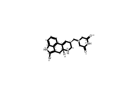 O=C1CN(C[C@@H]2C=C3c4cccc5[nH]c(Br)c(c45)C[C@H]3NC2)CC(=O)N1